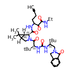 C#CCCC(NC(=O)[C@@H]1[C@@H]2[C@H](CN1C(=O)[C@@H](NC(=O)N[C@H](CN1Cc3ccccc3C1=O)C(C)(C)C)C(C)(C)C)C2(C)C)C(=O)C(=O)NCC